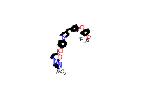 O=[N+]([O-])c1cn2c(n1)O[C@@H](COc1ccc(N3CCC(Cc4ccc(Oc5ccc(OC(F)(F)F)cc5)cc4)CC3)cc1)CC2